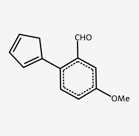 COc1ccc(C2=CC=CC2)c(C=O)c1